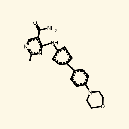 Cc1ncc(C(N)=O)c(Nc2ccc(-c3ccc(N4CCOCC4)cc3)cc2)n1